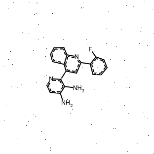 Nc1ccnc(-c2cc(-c3ccccc3F)nc3ccccc23)c1N